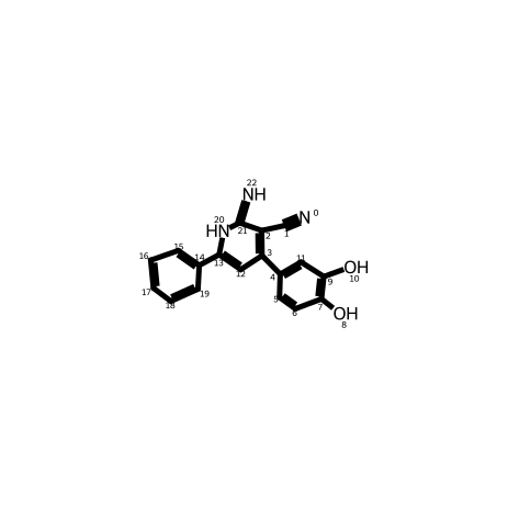 N#Cc1c(-c2ccc(O)c(O)c2)cc(-c2ccccc2)[nH]c1=N